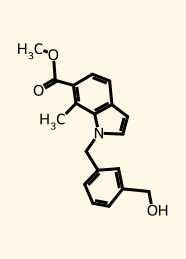 COC(=O)c1ccc2ccn(Cc3cccc(CO)c3)c2c1C